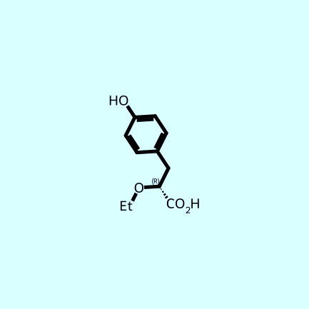 CCO[C@H](Cc1ccc(O)cc1)C(=O)O